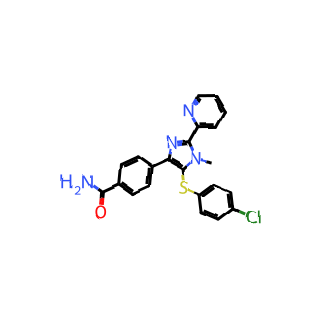 Cn1c(-c2ccccn2)nc(-c2ccc(C(N)=O)cc2)c1Sc1ccc(Cl)cc1